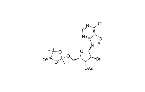 CC(=O)O[C@H]1[C@H](Br)[C@H](n2cnc3c(Cl)ncnc32)O[C@@H]1COC1(C)OC(=O)C(C)(C)O1